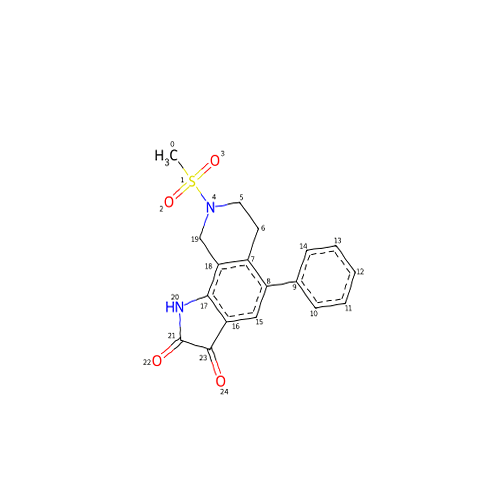 CS(=O)(=O)N1CCc2c(-c3ccccc3)cc3c(c2C1)NC(=O)C3=O